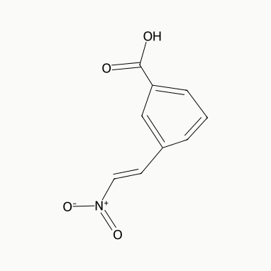 O=C(O)c1cccc(C=C[N+](=O)[O-])c1